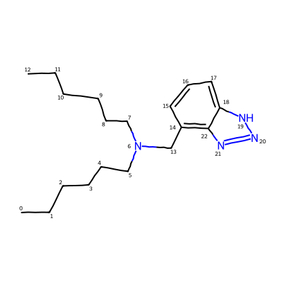 CCCCCCN(CCCCCC)Cc1cccc2[nH]nnc12